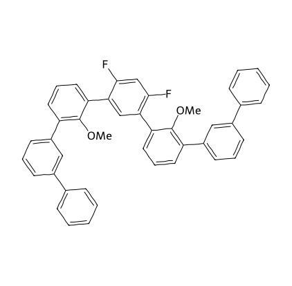 COc1c(-c2cccc(-c3ccccc3)c2)cccc1-c1cc(-c2cccc(-c3cccc(-c4ccccc4)c3)c2OC)c(F)cc1F